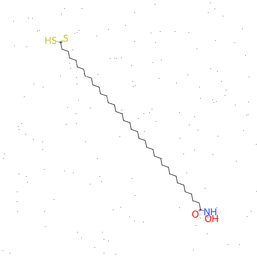 O=C(CCCCCCCCCCCCCCCCCCCCCCCCCCCCCCCCCCCCC(=S)S)NO